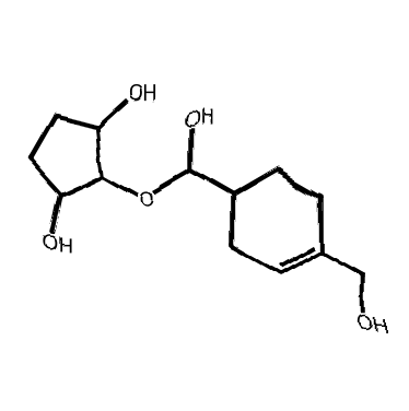 OCC1=CCC(C(O)OC2C(O)CCC2O)CC1